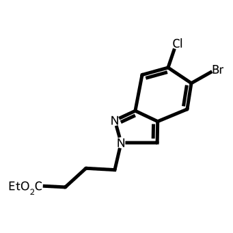 CCOC(=O)CCCn1cc2cc(Br)c(Cl)cc2n1